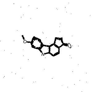 COc1ccc2c(c1)[N]C1C=CC3=C(CCC3=O)C21